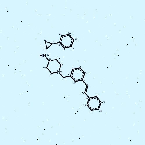 C(=Cc1cccc(CN2CCC(N[C@@H]3C[C@H]3c3ccccc3)CC2)c1)c1ccccc1